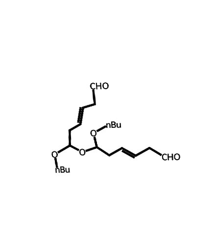 CCCCOC(CC=CCC=O)OC(CC=CCC=O)OCCCC